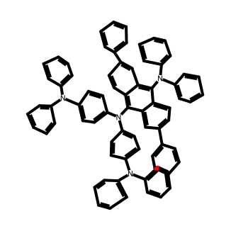 c1ccc(-c2ccc3c(N(c4ccc(N(c5ccccc5)c5ccccc5)cc4)c4ccc(N(c5ccccc5)c5ccccc5)cc4)c4cc(-c5ccccc5)ccc4c(N(c4ccccc4)c4ccccc4)c3c2)cc1